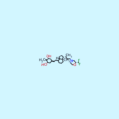 C=C1[C@H](O)CC(=C/C=C2\CCC[C@]3(C)[C@@H](C(C)CCN4CCO[C@@H](C(F)F)C4)CC[C@@H]23)C[C@H]1O